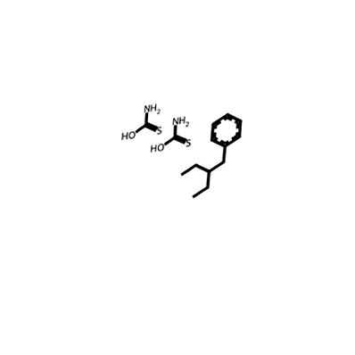 CCC(CC)Cc1ccccc1.NC(O)=S.NC(O)=S